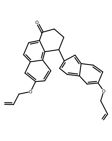 C=CCOc1ccc2cc(C3CCC(=O)c4ccc5cc(OCC=C)ccc5c43)ccc2c1